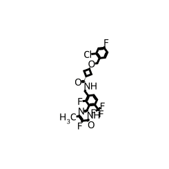 Cc1nc(-c2c(C(F)(F)F)ccc(CNC(=O)[C@H]3C[C@H](OCc4ccc(F)cc4Cl)C3)c2F)[nH]c(=O)c1F